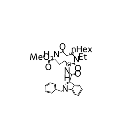 CCCCCC[C@@H](CC(N)=O)N(CC)C(=O)[C@H](CCCC(=O)OC)NC(=O)c1cn(Cc2ccccc2)c2ccccc12